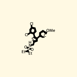 CCC(CC)S(=O)(=O)NCc1cc(-c2ccc(OC)cc2)c(-c2ccc(Cl)cc2Cl)s1